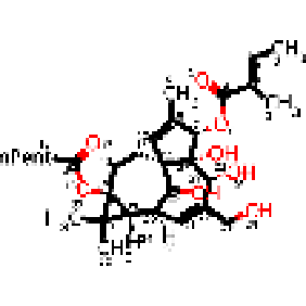 C/C=C(\C)C(=O)O[C@H]1C(C)=C[C@@]23CC[C@]4(OC(=O)CCCCC)[C@H]([C@H](C=C(CO)[C@@H](O)[C@]12O)C3O)C4(C)C